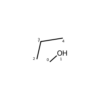 CO.C[CH]C